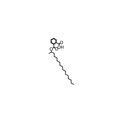 CCCCCCCCCCCCCCCC(C)OC(=O)c1ccccc1C(=O)O